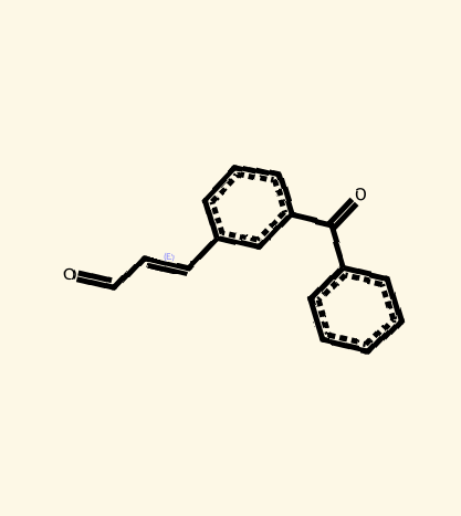 O=C/C=C/c1cccc(C(=O)c2ccccc2)c1